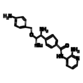 CCCCC(OCc1ccc(N)cc1)C(N)c1ccc(C(=O)Nc2cccnc2N)cc1